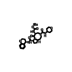 CC(C)(C)OC(=O)N[C@H]1CN(C(=O)NC2CCOCC2)CC[C@H]2CC[C@@H](C(=O)N[C@@H]3CCOc4ccccc43)N2C1=O